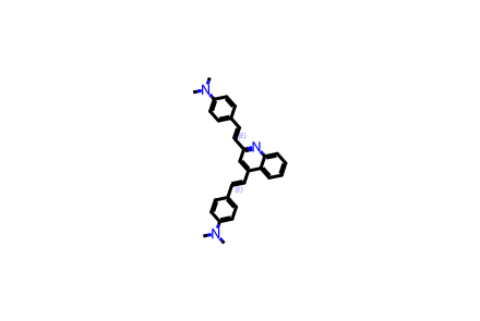 CN(C)c1ccc(/C=C/c2cc(/C=C/c3ccc(N(C)C)cc3)c3ccccc3n2)cc1